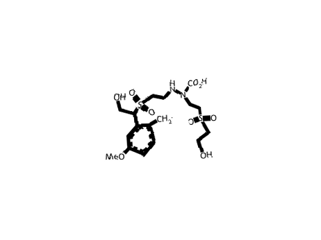 [CH2]c1ccc(OC)cc1C(CO)S(=O)(=O)CCNN(CCS(=O)(=O)CCO)C(=O)O